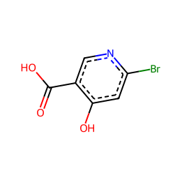 O=C(O)c1cnc(Br)cc1O